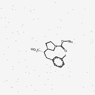 CC(C)(C)OC(=O)N1CC[C@H]([C@H](Cc2cccc(I)c2)C(=O)O)C1